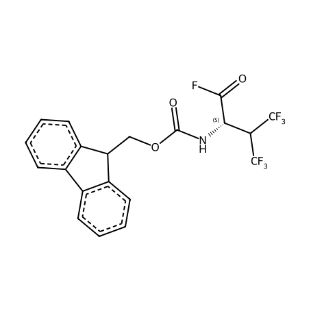 O=C(N[C@H](C(=O)F)C(C(F)(F)F)C(F)(F)F)OCC1c2ccccc2-c2ccccc21